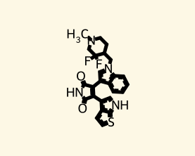 CN1CCC(Cn2cc(C3=C(c4c[nH]c5sccc45)C(=O)NC3=O)c3ccccc32)C(F)(F)C1